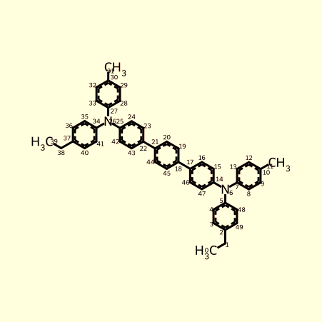 CCc1ccc(N(c2ccc(C)cc2)c2ccc(-c3ccc(-c4ccc(N(c5ccc(C)cc5)c5ccc(CC)cc5)cc4)cc3)cc2)cc1